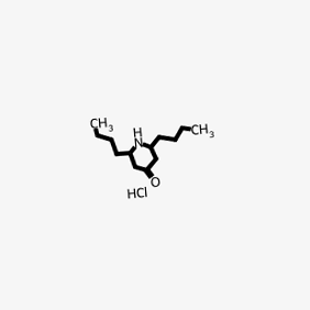 CCCCC1CC(=O)CC(CCCC)N1.Cl